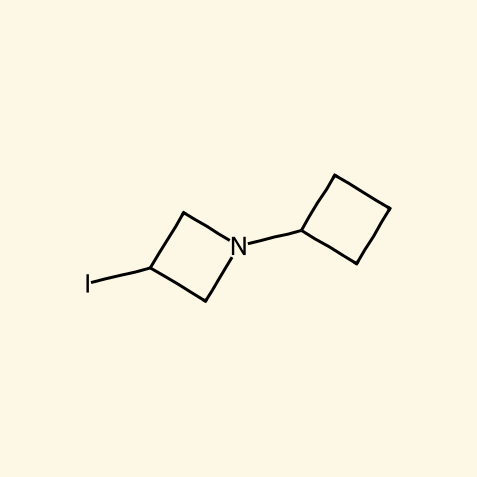 IC1CN(C2CCC2)C1